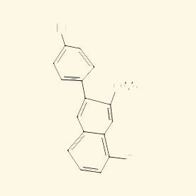 CCc1ccc(-c2cc3cccc(F)c3cc2OC)cc1